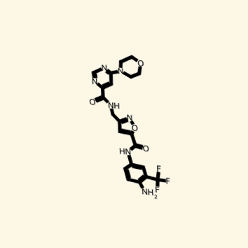 Nc1ccc(NC(=O)c2cc(CNC(=O)c3cc(N4CCOCC4)ncn3)no2)cc1C(F)(F)F